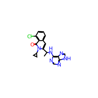 CC(Nc1ncnc2[nH]cnc12)c1cc2cccc(Cl)c2c(=O)n1C1CC1